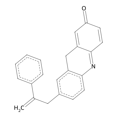 C=C(Cc1ccc2c(c1)CC1=CC(=O)C=CC1=N2)c1ccccc1